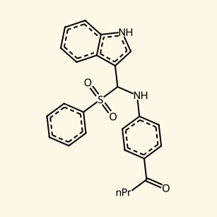 CCCC(=O)c1ccc(NC(c2c[nH]c3ccccc23)S(=O)(=O)c2ccccc2)cc1